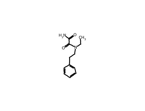 CCN(CCc1ccccc1)C(=O)C(N)=O